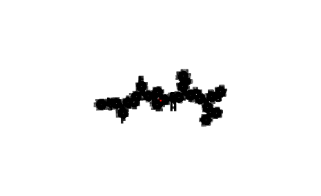 Fc1ccc(N(c2ccc3c(ccc4cc(N(c5ccc(F)cc5)c5ccc6c(c5)c5cccc(-c7cccc(C8Nc9ccc(N(c%10ccc%11c(ccc%12cc(N(c%13ccc%14c(c%13)oc%13ccccc%13%14)c%13ccc%14c(c%13)c%13ccccc%13n%14-c%13ccccc%13)ccc%12%11)c%10)c%10ccc%11c(c%10)oc%10ccccc%10%11)cc9S8)c7)c5n6-c5ccccc5)ccc43)c2)c2ccc3nc(-c4ccccc4)sc3c2)cc1